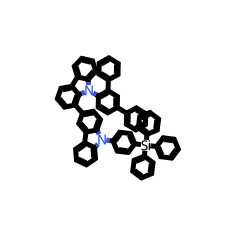 c1ccc(-c2ccc(-n3c4ccccc4c4cccc(-c5ccc6c(c5)c5ccccc5n6-c5ccc([Si](c6ccccc6)(c6ccccc6)c6ccccc6)cc5)c43)c(-c3ccccc3)c2)cc1